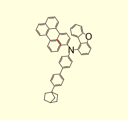 c1ccc(-c2cccc3cccc(-c4ccc(N(c5ccc(-c6ccc(C78CCC(CC7)C8)cc6)cc5)c5cccc6oc7ccccc7c56)cc4)c23)cc1